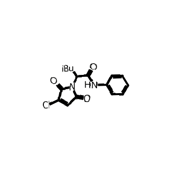 CCC(C)C(C(=O)Nc1ccccc1)N1C(=O)C=C(Cl)C1=O